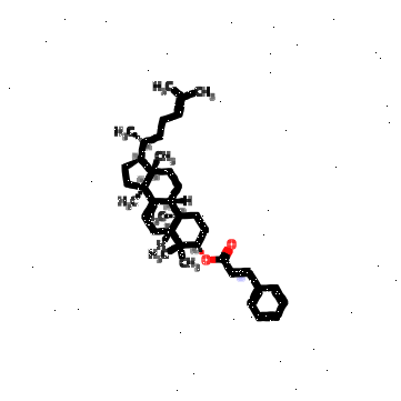 CC(C)=CCC[C@@H](C)[C@@H]1CC[C@]2(C)C3=CC[C@H]4C(C)(C)[C@@H](OC(=O)/C=C/c5ccccc5)CC[C@]4(C)[C@H]3CC[C@@]12C